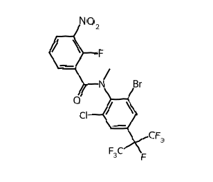 CN(C(=O)c1cccc([N+](=O)[O-])c1F)c1c(Cl)cc(C(F)(C(F)(F)F)C(F)(F)F)cc1Br